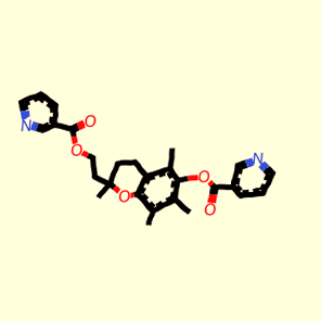 Cc1c(C)c2c(c(C)c1OC(=O)c1cccnc1)CCC(C)(CCOC(=O)c1cccnc1)O2